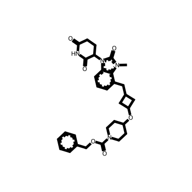 Cn1c(=O)n(C2CCC(=O)NC2=O)c2cccc(CC3CC(OC4CCN(C(=O)OCc5ccccc5)CC4)C3)c21